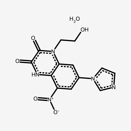 O.O=c1[nH]c2c([N+](=O)[O-])cc(-n3ccnc3)cc2n(CCO)c1=O